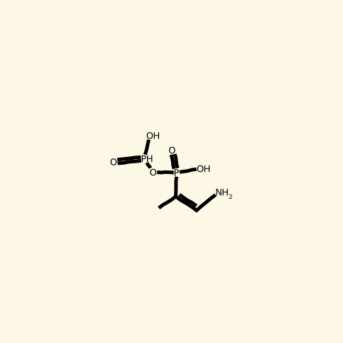 CC(=CN)P(=O)(O)O[PH](=O)O